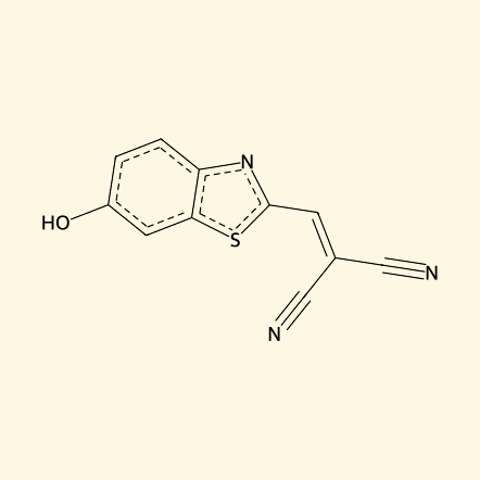 N#CC(C#N)=Cc1nc2ccc(O)cc2s1